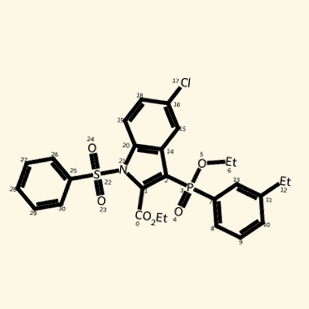 CCOC(=O)c1c(P(=O)(OCC)c2cccc(CC)c2)c2cc(Cl)ccc2n1S(=O)(=O)c1ccccc1